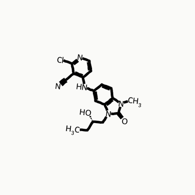 CC[C@H](O)Cn1c(=O)n(C)c2ccc(Nc3ccnc(Cl)c3C#N)cc21